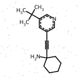 CC(C)(C)c1cncc(C#CC2(N)CCCCC2)c1